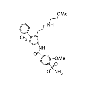 COCCNCCCc1cc(NC(=O)c2ccc(S(N)(=O)=O)c(OC)c2)ccc1-c1ccccc1C(F)(F)F